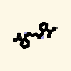 O=[N+]([O-])c1ccccc1/C=N\CC/N=C\c1ccccc1[N+](=O)[O-]